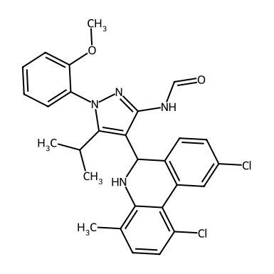 COc1ccccc1-n1nc(NC=O)c(C2Nc3c(C)ccc(Cl)c3-c3cc(Cl)ccc32)c1C(C)C